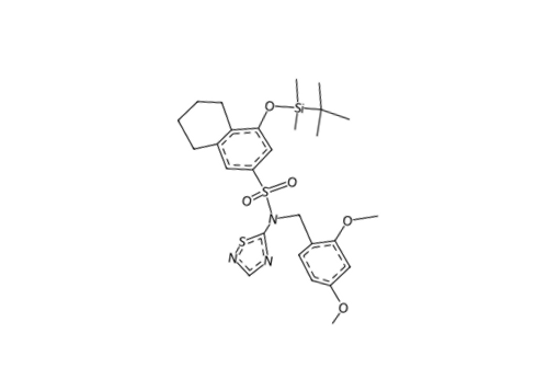 COc1ccc(CN(c2ncns2)S(=O)(=O)c2cc3c(c(O[Si](C)(C)C(C)(C)C)c2)CCCC3)c(OC)c1